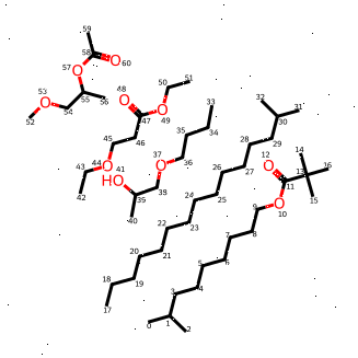 CC(C)CCCCCCCOC(=O)C(C)(C)C.CCCCCCCCCCCCCC(C)C.CCCCOCC(C)O.CCOCCC(=O)OCC.COCC(C)OC(C)=O